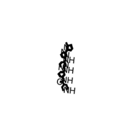 Cc1cccc(-c2nccc(Nc3ccnc(Nc4cccc(NC(=O)C5CCNCC5)c4)n3)n2)n1